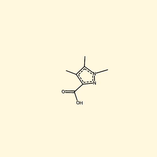 Cc1c(C(=O)O)nn(C)c1C